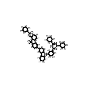 CC1(C)c2ccc(-c3ccc4c(c3)c3ccccc3n4-c3cccc(-c4nc(-c5ccccc5)nc(-c5ccccc5)n4)c3)cc2-c2ccc3oc(-c4ccccc4)nc3c21